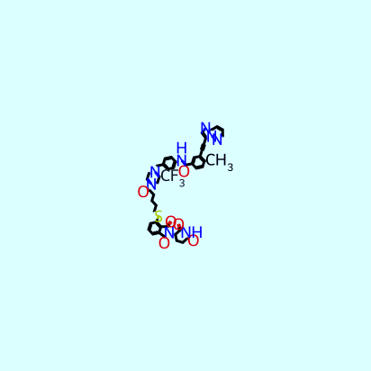 Cc1ccc(C(=O)Nc2ccc(CN3CCN(C(=O)CCCCSc4cccc5c4C(=O)N(C4CCC(=O)NC4=O)C5=O)CC3)c(C(F)(F)F)c2)cc1C#Cc1cnc2cccnn12